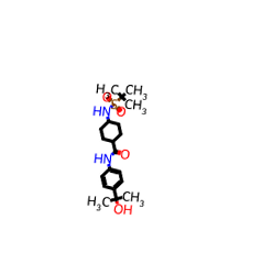 CC(C)(O)c1ccc(NC(=O)C2CCC(NS(=O)(=O)C(C)(C)C)CC2)cc1